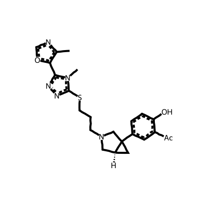 CC(=O)c1cc(C23C[C@H]2CN(CCCSc2nnc(-c4ocnc4C)n2C)C3)ccc1O